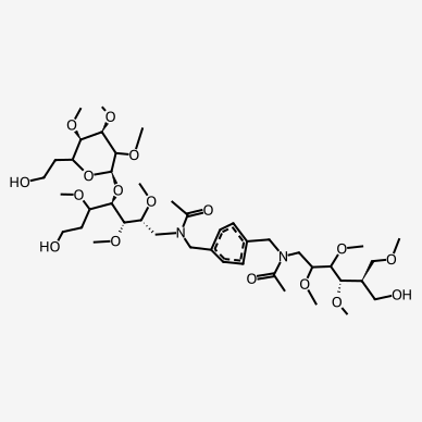 COC[C@@H](CO)[C@H](OC)C(OC)C(CN(Cc1ccc(CN(C[C@@H](OC)[C@H](OC)[C@H](O[C@H]2OC(CCO)[C@@H](OC)[C@@H](OC)C2OC)C(CCO)OC)C(C)=O)cc1)C(C)=O)OC